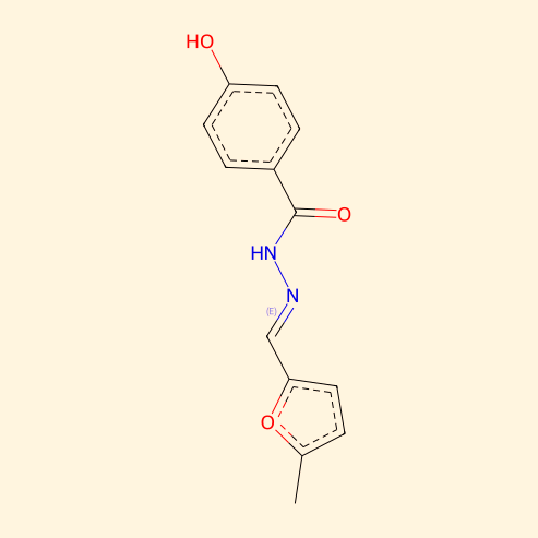 Cc1ccc(/C=N/NC(=O)c2ccc(O)cc2)o1